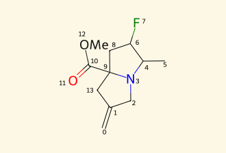 C=C1CN2C(C)C(F)CC2(C(=O)OC)C1